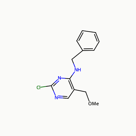 COCc1cnc(Cl)nc1NCc1ccccc1